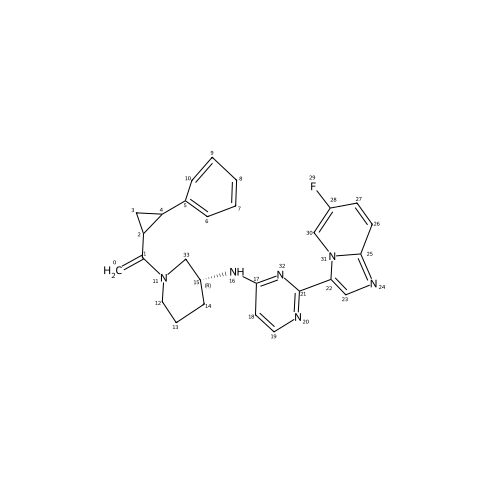 C=C(C1CC1c1ccccc1)N1CCC[C@@H](Nc2ccnc(-c3cnc4ccc(F)cn34)n2)C1